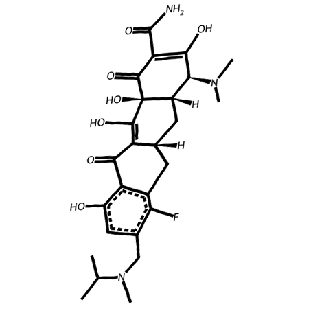 CC(C)N(C)Cc1cc(O)c2c(c1F)C[C@H]1C[C@H]3[C@H](N(C)C)C(O)=C(C(N)=O)C(=O)[C@@]3(O)C(O)=C1C2=O